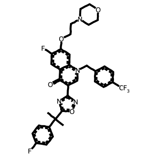 CC(C)(c1ccc(F)cc1)c1nc(-c2cn(Cc3ccc(C(F)(F)F)cc3)c3cc(OCCN4CCOCC4)c(F)cc3c2=O)no1